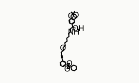 CC1(C)OCc2cc([C@@H](O)CNCCCCCCOCCC#Cc3cccc(S(=O)(=O)C4CCCCC4)c3)ccc2O1